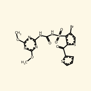 COc1nc(NC(=O)NS(=O)(=O)c2c(Br)csc2C(=O)c2cccs2)nc(OC)n1